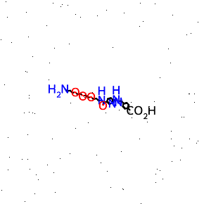 NCCCOCCOCCOCCCNC(=O)c1ccc(N/N=C/c2ccc(C(=O)O)cc2)nc1